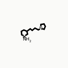 NN1CCCC(CCCCN2CCCC2)C1